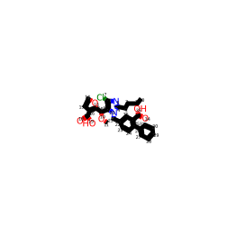 CCCCc1nc(Cl)c(C(OC)c2occc2C(=O)O)n1Cc1ccc(-c2ccccc2)c(C(=O)O)c1